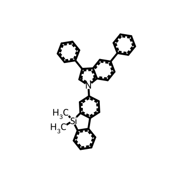 C[Si]1(C)c2ccccc2-c2ccc(-n3cc(-c4ccccc4)c4cc(-c5ccccc5)ccc43)cc21